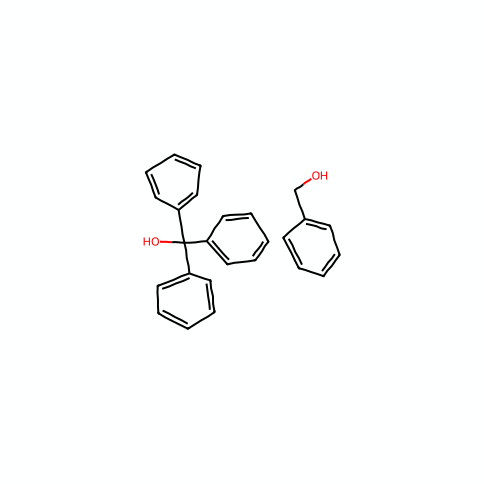 OC(c1ccccc1)(c1ccccc1)c1ccccc1.OCc1ccccc1